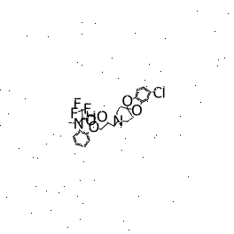 CN(C(=O)C(F)(F)F)c1ccccc1OC[C@H](O)CN1CCC2(CC1)Oc1ccc(Cl)cc1O2